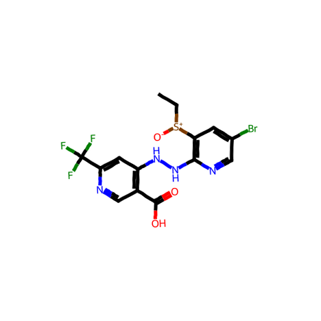 CC[S+]([O-])c1cc(Br)cnc1NNc1cc(C(F)(F)F)ncc1C(=O)O